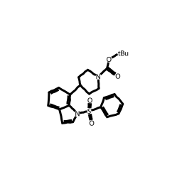 CC(C)(C)OC(=O)N1CCC(c2cccc3ccn(S(=O)(=O)c4ccccc4)c23)CC1